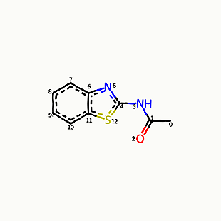 CC(=O)Nc1nc2cc[c]cc2s1